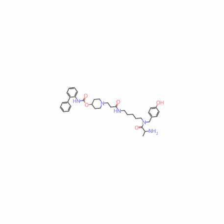 CC(N)C(=O)N(CCCCCNC(=O)CCN1CCC(OC(=O)Nc2ccccc2-c2ccccc2)CC1)Cc1ccc(O)cc1